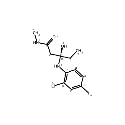 CC[C@@](O)(CC(=O)NC)Nc1ccc(I)cc1Cl